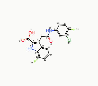 O=C(Cc1c(C(=O)O)[nH]c2c(F)cccc12)Nc1ccc(F)c(Cl)c1